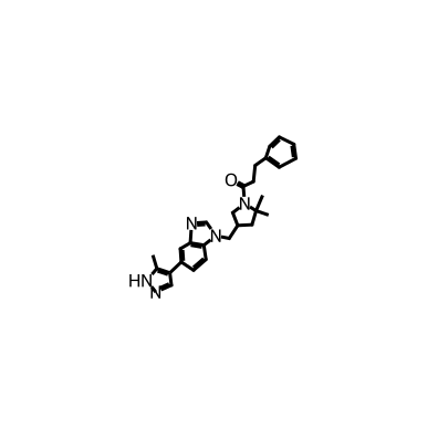 Cc1[nH]ncc1-c1ccc2c(c1)ncn2CC1CN(C(=O)CCc2ccccc2)C(C)(C)C1